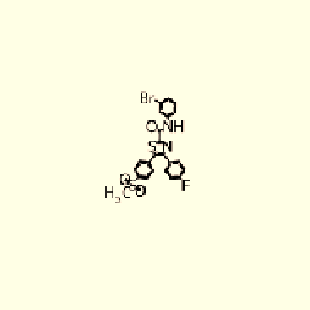 CS(=O)(=O)c1ccc(-c2sc(C(=O)Nc3cccc(Br)c3)nc2-c2ccc(F)cc2)cc1